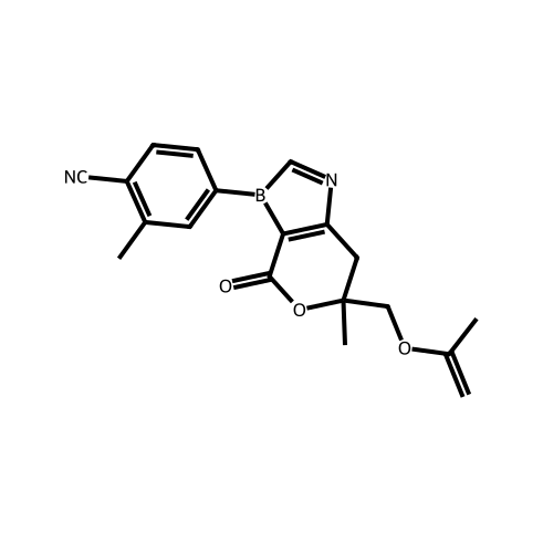 C=C(C)OCC1(C)CC2=C(B(c3ccc(C#N)c(C)c3)C=N2)C(=O)O1